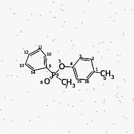 Cc1ccc(OP(C)(=O)c2ccccc2)cc1